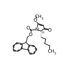 CCCCC[C@H]1C(=O)C=C(OC)N1C(=O)OCC1c2ccccc2-c2ccccc21